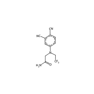 N#Cc1ccc(N(CC(N)=O)CC(F)(F)F)cc1C#N